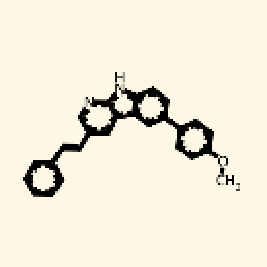 COc1ccc(-c2ccc3[nH]c4ncc(C=Cc5ccccc5)cc4c3c2)cc1